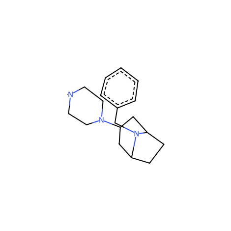 c1ccc(CN2C3CCC2CC(N2CC[N]CC2)C3)cc1